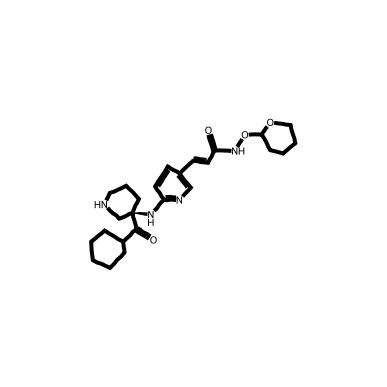 O=C(/C=C/c1ccc(N[C@]2(C(=O)C3CCCCC3)CCCNC2)nc1)NOC1CCCCO1